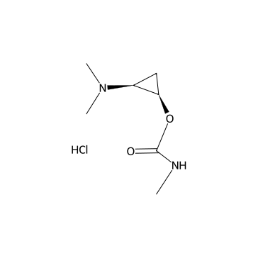 CNC(=O)O[C@@H]1C[C@@H]1N(C)C.Cl